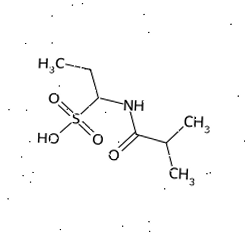 CCC(NC(=O)C(C)C)S(=O)(=O)O